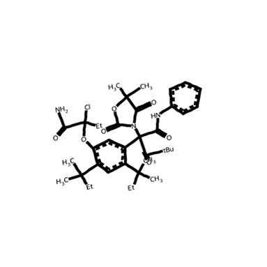 CCC(Cl)(Oc1cc(C(C(=O)Nc2ccccc2)(C(=O)C(C)(C)C)N2C(=O)OC(C)(C)C2=O)c(C(C)(C)CC)cc1C(C)(C)CC)C(N)=O